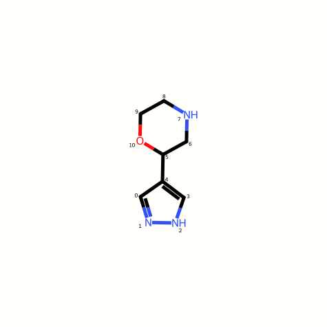 c1n[nH]cc1C1CNCCO1